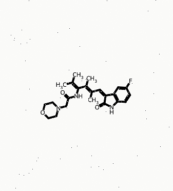 CC(C)=C(NC(=O)CN1CCOCC1)/C(C)=C(C)/C=C1\C(=O)Nc2ccc(F)cc21